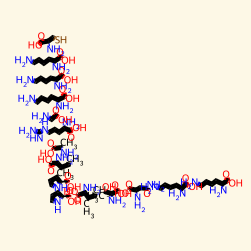 CC[C@H](C)[C@H](N)C(=O)O.CC[C@H](C)[C@H](N)C(=O)O.C[C@@H](O)[C@H](N)C(=O)O.C[C@H](N)C(=O)O.N=C(N)NCCC[C@H](N)C(=O)O.NC(=O)C[C@H](N)C(=O)O.NCC(=O)O.NCCCC[C@H](N)C(=O)O.NCCCC[C@H](N)C(=O)O.NCCCC[C@H](N)C(=O)O.NCCCC[C@H](N)C(=O)O.NCCCC[C@H](N)C(=O)O.N[C@@H](CS)C(=O)O.O=C(O)[C@@H]1CCCN1.O=C(O)[C@@H]1CCCN1